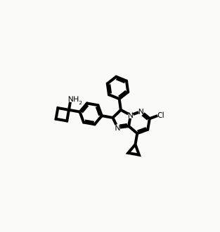 NC1(c2ccc(C3N=C4C(C5CC5)=CC(Cl)=NN4C3c3ccccc3)cc2)CCC1